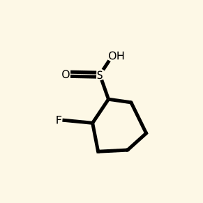 O=S(O)C1CCCCC1F